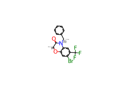 C[C@H]1Oc2cc(Br)c(C(F)(F)F)cc2N([C@@H](C)c2ccccc2)C1=O